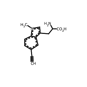 C#Cc1ccc2c(c1)c(CC(N)C(=O)O)cn2C